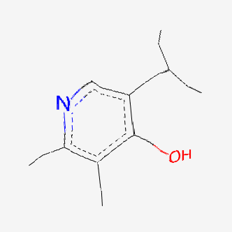 Cc1ncc(C(C)C)c(O)c1C